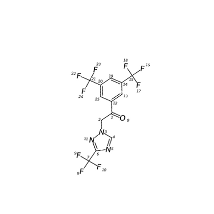 O=C(Cn1cnc(C(F)(F)F)n1)c1cc(C(F)(F)F)cc(C(F)(F)F)c1